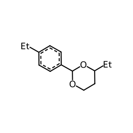 CCc1ccc(C2OCCC(CC)O2)cc1